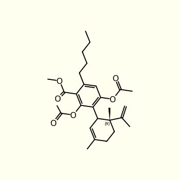 C=C(C)[C@]1(C)CCC(C)=CC1c1c(OC(C)=O)cc(CCCCC)c(C(=O)OC)c1OC(C)=O